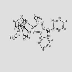 Cc1cc2c(cc1N1C3CCC(CC3)N(C)[C@@H]1C)c1ccccc1n2-c1ccccc1